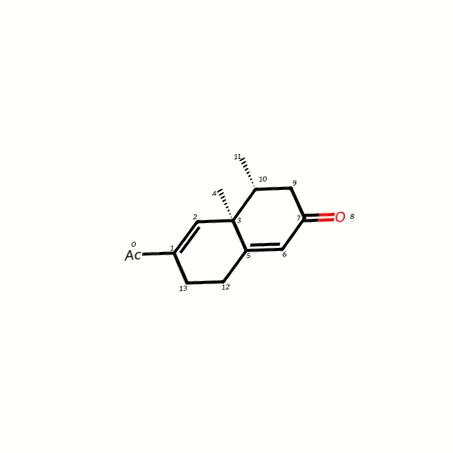 CC(=O)C1=C[C@]2(C)C(=CC(=O)C[C@H]2C)CC1